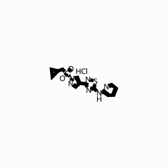 Cl.O=S(=O)(CC1CC1)n1cc(-c2nsc(Nc3ccccn3)n2)cn1